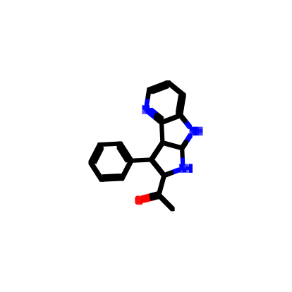 CC(=O)C1NC2Nc3cccnc3C2C1c1ccccc1